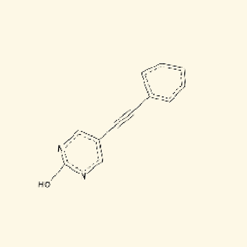 Oc1ncc(C#Cc2ccccc2)cn1